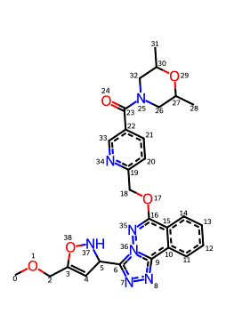 COCC1=CC(c2nnc3c4ccccc4c(OCc4ccc(C(=O)N5CC(C)OC(C)C5)cn4)nn23)NO1